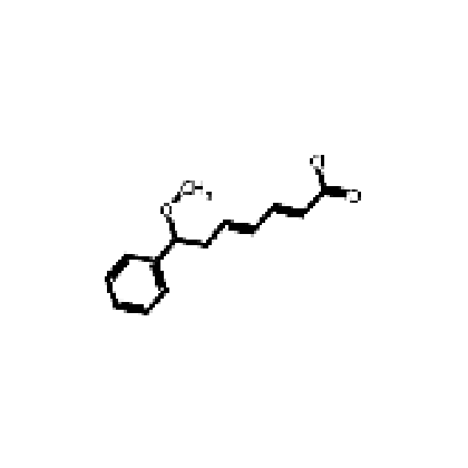 COC(CC=CC=CC(=O)Cl)c1ccccc1